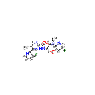 CCc1cnc(C(=O)N[C@H]2COc3cc(F)cnc3N(C)C2=O)nc1-c1ncccc1F